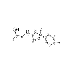 Cc1ccc(S(=O)(=O)NC(=N)NCC(C)O)cc1